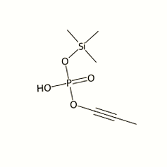 CC#COP(=O)(O)O[Si](C)(C)C